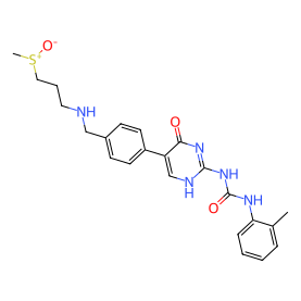 Cc1ccccc1NC(=O)Nc1nc(=O)c(-c2ccc(CNCCC[S+](C)[O-])cc2)c[nH]1